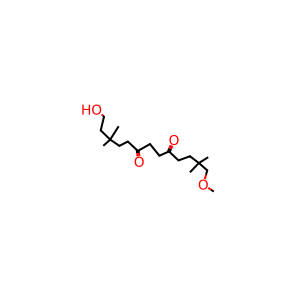 COCC(C)(C)CCC(=O)CCC(=O)CCC(C)(C)CCO